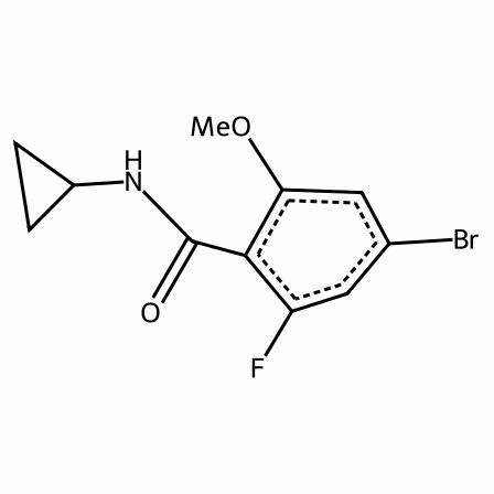 COc1cc(Br)cc(F)c1C(=O)NC1CC1